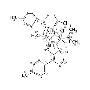 CC1=Cc2c(-c3ccc(C)cc3)ccc(C)c2[CH]1[Zr]([Cl])([Cl])([CH]1C(C(C)C)=Cc2c(-c3ccc(C)cc3)cccc21)[SiH](C)C